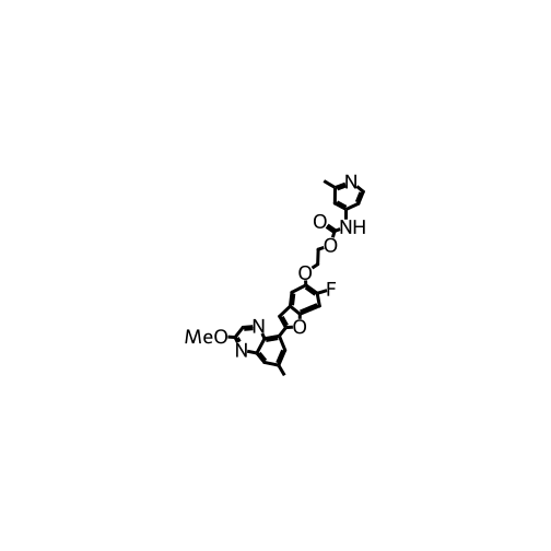 COc1cnc2c(-c3cc4cc(OCCOC(=O)Nc5ccnc(C)c5)c(F)cc4o3)cc(C)cc2n1